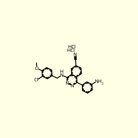 COc1ccc(CNc2nnc(-c3cccc(N)c3)c3ccc(C#N)cc23)cc1Cl.Cl.Cl